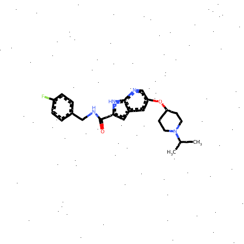 CC(C)N1CCC(Oc2cnc3[nH]c(C(=O)NCc4ccc(F)cc4)cc3c2)CC1